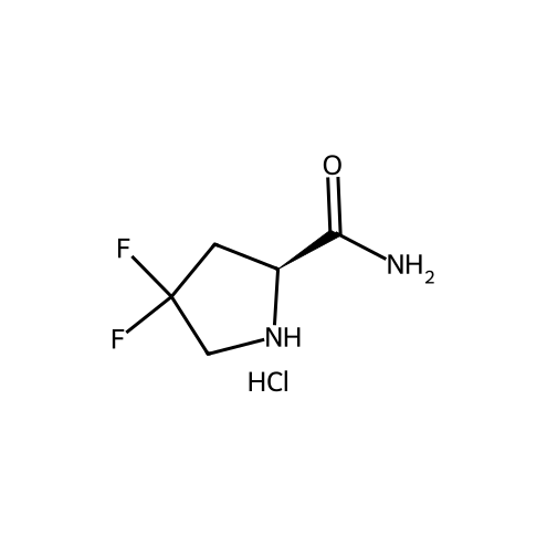 Cl.NC(=O)[C@@H]1CC(F)(F)CN1